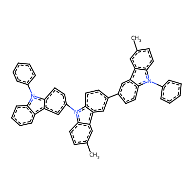 Cc1ccc2c(c1)c1cc(-c3ccc4c(c3)c3cc(C)ccc3n4-c3ccc4c(c3)c3ccccc3n4-c3ccccc3)ccc1n2-c1ccccc1